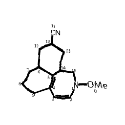 CON1C=CC2=C3C(CCC2)CC(C#N)CC3C1